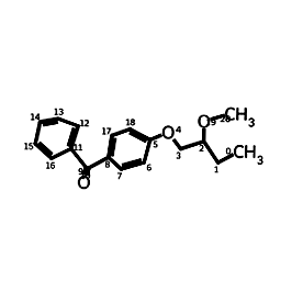 CCC(COc1ccc(C(=O)c2ccccc2)cc1)OC